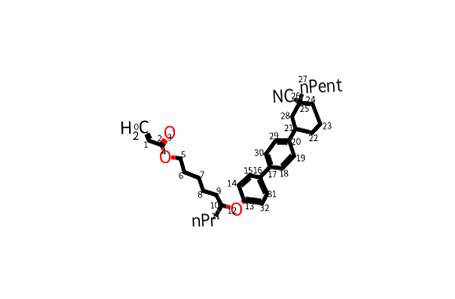 C=CC(=O)OCCCCCC(CCC)Oc1ccc(-c2ccc(C3CCCC(C#N)(CCCCC)C3)cc2)cc1